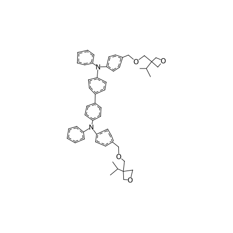 CC(C)C1(COCc2ccc(N(c3ccccc3)c3ccc(-c4ccc(N(c5ccccc5)c5ccc(COCC6(C(C)C)COC6)cc5)cc4)cc3)cc2)COC1